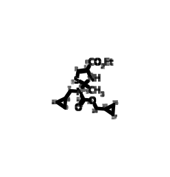 CCOC(=O)C1=CSC(C)(N(CC2CC2)C(=O)OCC2CC2)N1